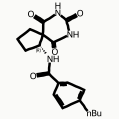 CCCCc1ccc(C(=O)N[C@@H]2CCCC23C(=O)NC(=O)NC3=O)cc1